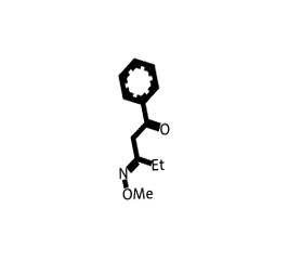 CC/C(CC(=O)c1ccccc1)=N\OC